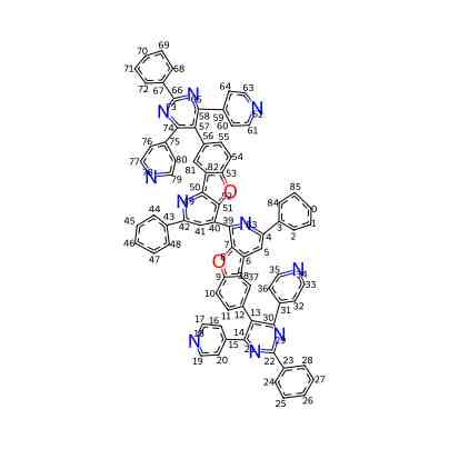 c1ccc(-c2cc3c(oc4ccc(-c5c(-c6ccncc6)nc(-c6ccccc6)nc5-c5ccncc5)cc43)c(-c3cc(-c4ccccc4)nc4c3oc3ccc(-c5c(-c6ccncc6)nc(-c6ccccc6)nc5-c5ccncc5)cc34)n2)cc1